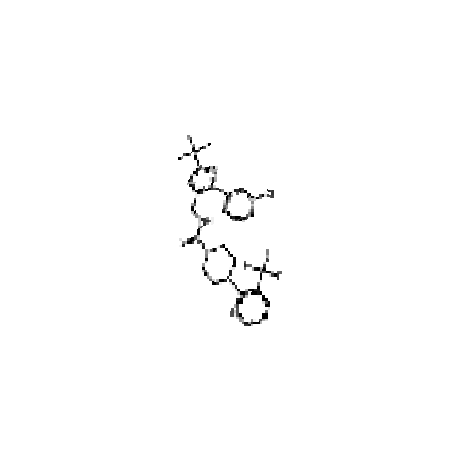 CC(C)(C)c1cc(CNC(=O)N2CCN(c3ncccc3C(F)(F)F)CC2)n(-c2cccc(Cl)c2)n1